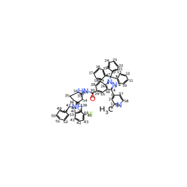 Cc1cc(-c2nn(C(c3ccccc3)(c3ccccc3)c3ccccc3)c3ccc(C(=O)N[C@@H]4CCC[C@](Cc5ccccc5F)(NCc5ccccc5)C4)cc23)ccn1